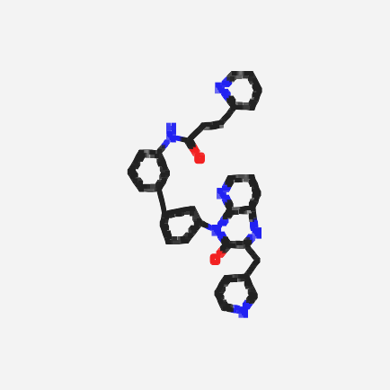 O=C(C=Cc1ccccn1)Nc1cccc(-c2cccc(-n3c(=O)c(Cc4cccnc4)nc4cccnc43)c2)c1